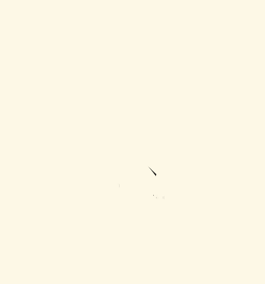 CCCCCCCCCC[C@H](Cc1ccccc1)C(=O)C(C)C